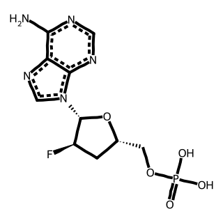 Nc1ncnc2c1ncn2[C@@H]1O[C@H](COP(=O)(O)O)C[C@H]1F